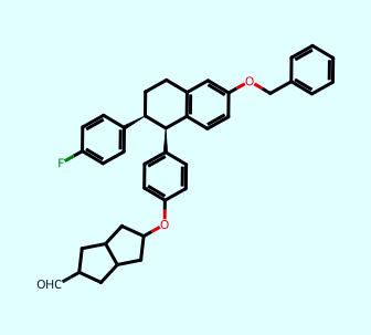 O=CC1CC2CC(Oc3ccc([C@@H]4c5ccc(OCc6ccccc6)cc5CC[C@@H]4c4ccc(F)cc4)cc3)CC2C1